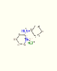 Cl.N[C@H]1CCCC[C@@H]1CN1CCCCC1